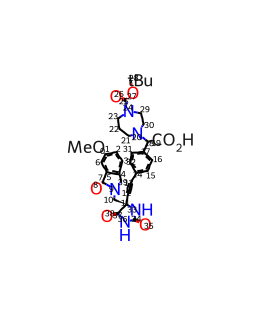 COc1ccc2c(c1)C(=O)N(C[C@@]1(C#Cc3ccc(C(C(=O)O)N4CCCN(C(=O)OC(C)(C)C)CC4)cc3)NC(=O)NC1=O)C2